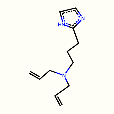 C=CCN(CC=C)CCCc1ncc[nH]1